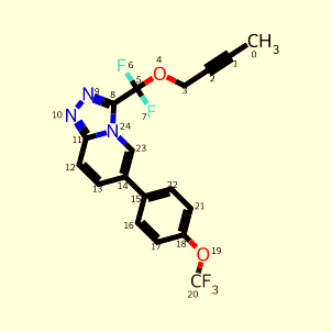 CC#CCOC(F)(F)c1nnc2ccc(-c3ccc(OC(F)(F)F)cc3)cn12